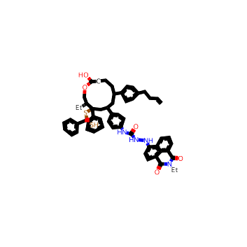 C=CCCc1ccc(C2CCCC(O)OCC(CC)C(SC(S)c3ccccc3)(c3ccccc3)CC(c3ccc(NC(=O)NNc4ccc5c6c(cccc46)C(=O)N(CC)C5=O)cc3)C2)cc1